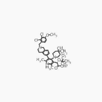 COc1ccc(CN2CCc3cc(-c4c(C)nc(C)c([C@H](OC(C)(C)C)C(=O)O)c4N4CCC(C)(C)CC4)ccc3C2)c(Cl)c1Cl